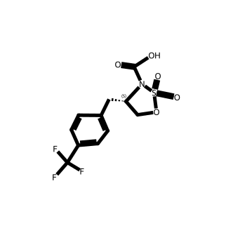 O=C(O)N1[C@@H](Cc2ccc(C(F)(F)F)cc2)COS1(=O)=O